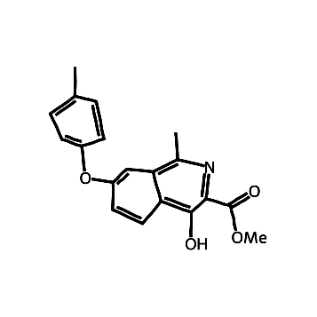 COC(=O)c1nc(C)c2cc(Oc3ccc(C)cc3)ccc2c1O